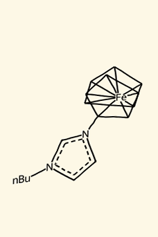 CCCC[n+]1ccn([C]23[CH]4[CH]5[CH]6[CH]2[Fe]56432789[CH]3[CH]2[CH]7[CH]8[CH]39)c1